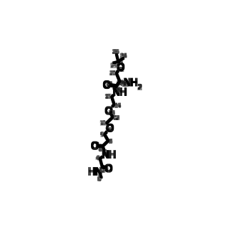 CNC(=O)CNC(=O)CCOCCOCCNC(=O)[C@@H](N)COC(C)(C)C